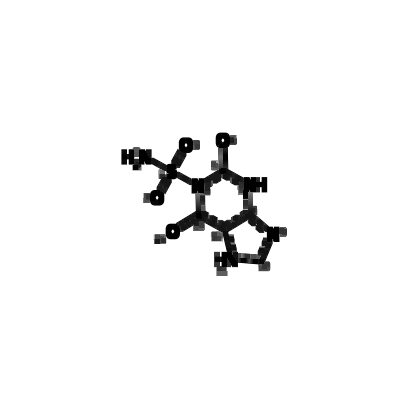 NS(=O)(=O)n1c(=O)[nH]c2nc[nH]c2c1=O